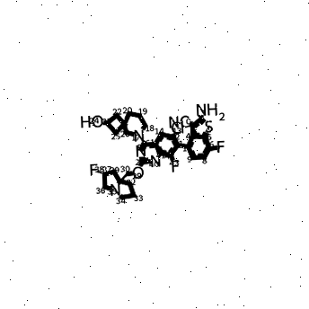 N#Cc1c(N)sc2c(F)ccc(-c3c(Cl)cc4c(N5CCCC6(CC(O)C6)C5)nc(OC[C@@]56CCCN5C[C@H](F)C6)nc4c3F)c12